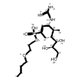 CCCCOCCOP(=O)(O)C1=C[C@H](NC(=N)N)[C@@H](C)[C@H]([C@H](O)[C@H](O)CO)C1